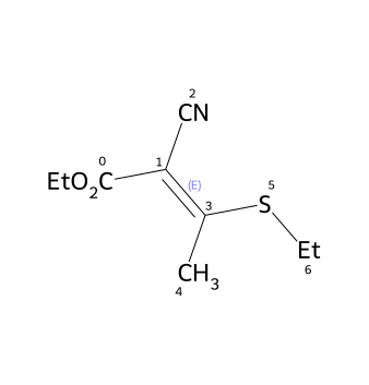 CCOC(=O)/C(C#N)=C(\C)SCC